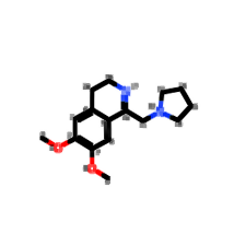 COc1cc2c(cc1OC)C(CN1CCCC1)=NCC2